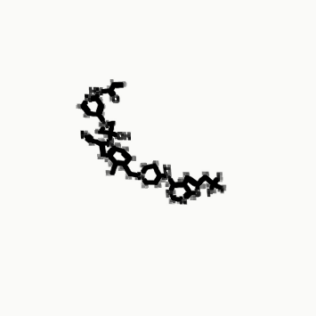 C=CC(=O)Nc1cc(N2CC(O)(n3c(C#N)cc4c(C)c(CN5CCC(Nc6ncnc7sc(CC(F)(F)F)cc67)CC5)ccc43)C2)ccn1